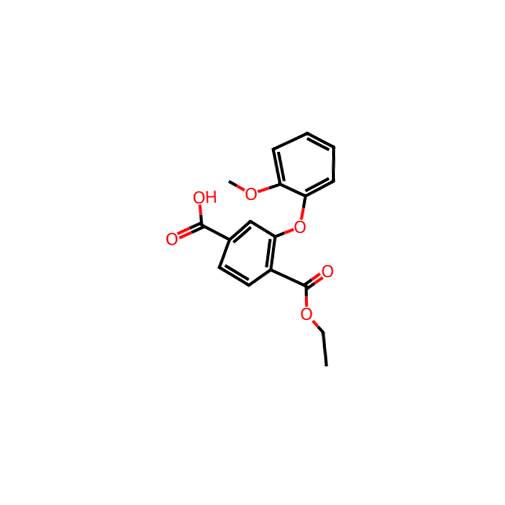 CCOC(=O)c1ccc(C(=O)O)cc1Oc1ccccc1OC